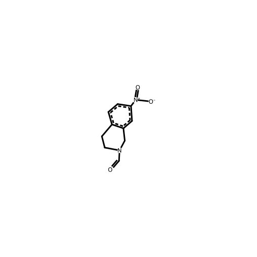 O=CN1CCc2ccc([N+](=O)[O-])cc2C1